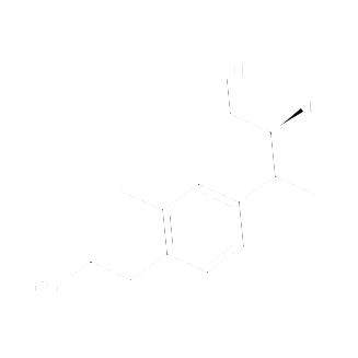 C[C](c1ccc(CCC(C)(C)C)c(Cl)c1)[C@@H](CO)C(C)C